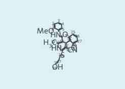 COc1ccccc1NC(=O)C1=C(C)NC(SCCCO)=C(C#N)C1c1ccccc1Cl